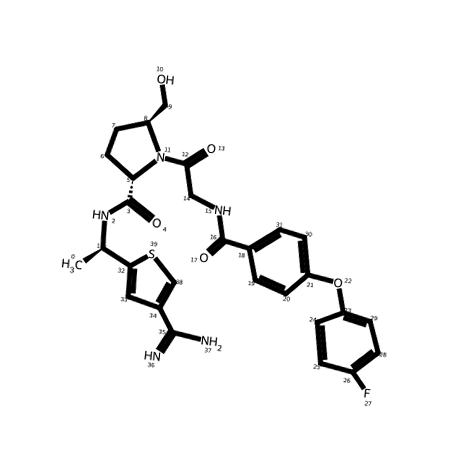 C[C@@H](NC(=O)[C@@H]1CC[C@@H](CO)N1C(=O)CNC(=O)c1ccc(Oc2ccc(F)cc2)cc1)c1cc(C(=N)N)cs1